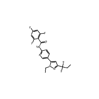 CCn1nc(C(F)(F)CC)cc1-c1ccc(NC(=O)c2c(F)cc(F)cc2F)nc1